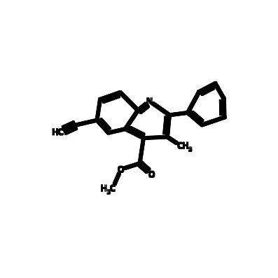 C#Cc1ccc2nc(-c3ccccc3)c(C)c(C(=O)OC)c2c1